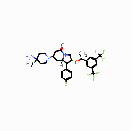 C[C@@H](O[C@H]1CN2C(=O)CC(N3CCC(C)(N)CC3)C[C@H]2C1c1ccc(F)cc1)c1cc(C(F)(F)F)cc(C(F)(F)F)c1